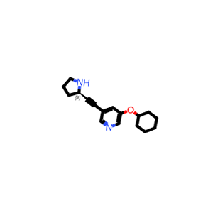 C(#C[C@H]1CCCN1)c1cncc(OC2CCCCC2)c1